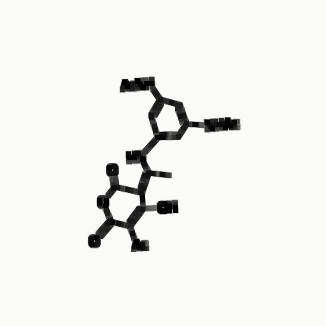 CC(=O)Nc1cc(NC(C)=O)cc(NC(C)=C2C(=O)OC(=O)C(C(C)=O)=C2O)c1